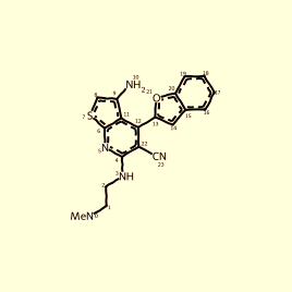 CNCCNc1nc2scc(N)c2c(-c2cc3ccccc3o2)c1C#N